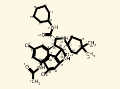 CC(=O)Nc1cc(Cl)cc([C@H]2[C@H](C(=O)NC3CCCCC3)NC3(CCC(C)(C)CC3)[C@@]23C(=O)Nc2cc(Cl)ccc23)c1